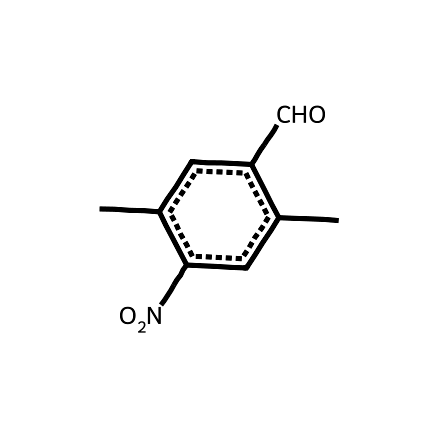 Cc1cc([N+](=O)[O-])c(C)cc1C=O